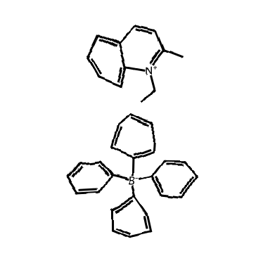 CC[n+]1c(C)ccc2ccccc21.c1ccc([B-](c2ccccc2)(c2ccccc2)c2ccccc2)cc1